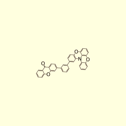 O=c1c2ccccc2oc2cc(-c3cccc(-c4ccc5c(c4)N4c6ccccc6Oc6cccc(c64)O5)c3)ccc12